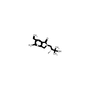 C=Cc1cc2c(cc1N)CN(C[C@@H](F)C(C)(C)O)C2=O